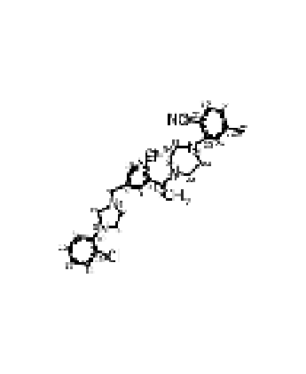 C=C(c1cc(CN2CCN(c3ccccc3Cl)C2)cn1C)N1CCN(c2cc(F)ccc2C#N)CC1